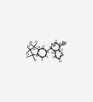 CC1(C)c2ccc(-c3ncc(Br)c4sccc34)cc2C(C)(C)C1(C)C